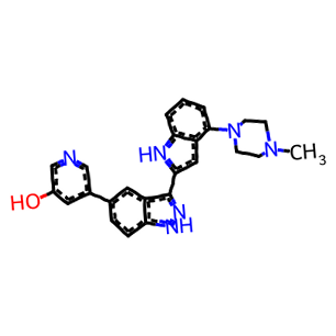 CN1CCN(c2cccc3[nH]c(-c4n[nH]c5ccc(-c6cncc(O)c6)cc45)cc23)CC1